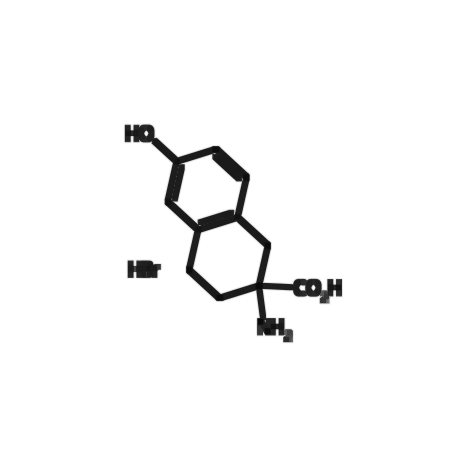 Br.NC1(C(=O)O)CCc2cc(O)ccc2C1